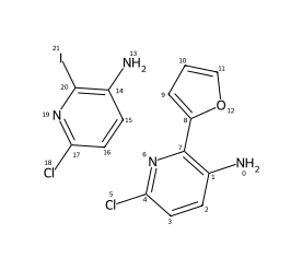 Nc1ccc(Cl)nc1-c1ccco1.Nc1ccc(Cl)nc1I